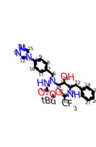 CC(C)(C)OC(=O)NN(Cc1ccc(-n2cnnc2)cc1)CC(O)C(Cc1ccccc1)NC(=O)C(F)(F)F